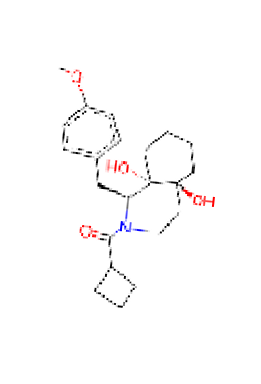 COc1ccc(C[C@@H]2N(C(=O)C3CCC3)CC[C@@]3(O)CCCC[C@]23O)cc1